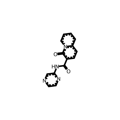 O=C(Nc1cnccn1)c1ccc2ccccn2c1=O